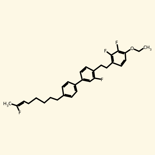 CCOc1ccc(CCc2ccc(-c3ccc(CCCCC/C=C(/C)F)cc3)cc2F)c(F)c1F